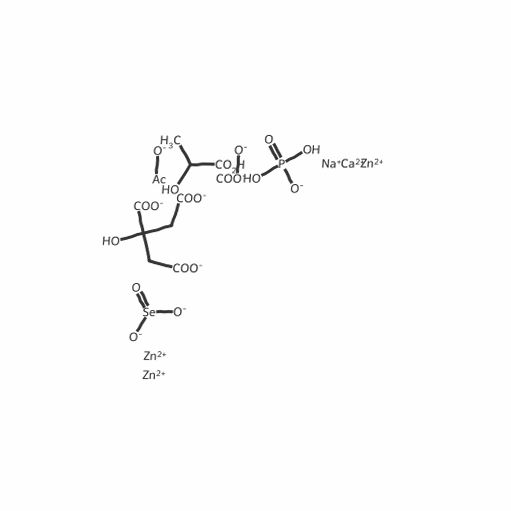 CC(=O)[O-].CC(O)C(=O)O.O=C([O-])CC(O)(CC(=O)[O-])C(=O)[O-].O=C([O-])[O-].O=P([O-])(O)O.O=[Se]([O-])[O-].[Ca+2].[Na+].[Zn+2].[Zn+2].[Zn+2]